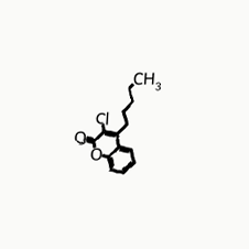 CCCCCc1c(Cl)c(=O)oc2ccccc12